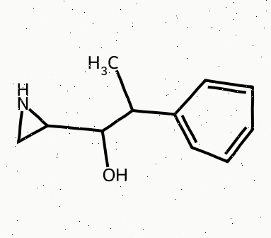 CC(c1ccccc1)C(O)C1CN1